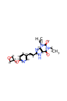 CCn1c(=O)c2[nH]c(C=Cc3ccc(OC4COC4)nc3)nc2n(CC)c1=O